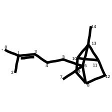 [CH2]C(C)=CCCC1(C)C2CC3C(C2)C31C